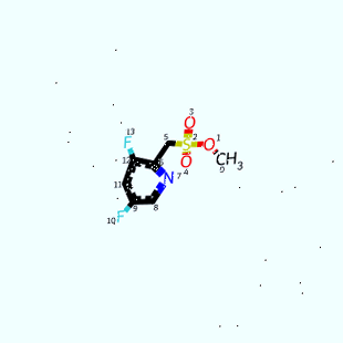 COS(=O)(=O)Cc1ncc(F)cc1F